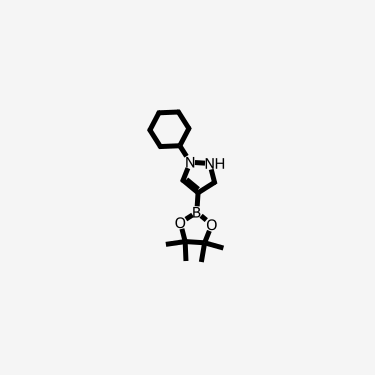 CC1(C)OB(C2=CN(C3CCCCC3)NC2)OC1(C)C